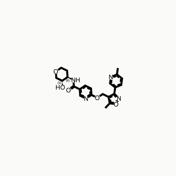 Cc1ccc(-c2noc(C)c2COc2ccc(C(=O)N[C@@H]3CCOC[C@H]3O)cn2)cn1